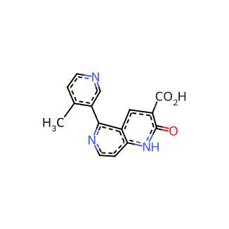 Cc1ccncc1-c1nccc2[nH]c(=O)c(C(=O)O)cc12